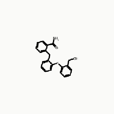 NC(=O)c1ccccc1Cc1ccccc1Sc1ccccc1CO